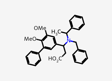 COc1cc(C(CC(=O)O)N(Cc2ccccc2)C(C)c2ccccc2)cc(-c2ccccc2)c1OC